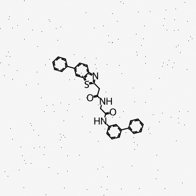 O=C(Cc1nc2ccc(-c3ccccc3)cc2s1)NCC(=O)Nc1cccc(-c2ccccc2)c1